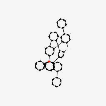 c1ccc(-c2cccc(N(c3ccccc3)c3ccc4c(c3)C3(c5cc(-c6ccccc6)ccc5Oc5ccc(-c6ccccc6)cc53)c3ccccc3-4)c2)cc1